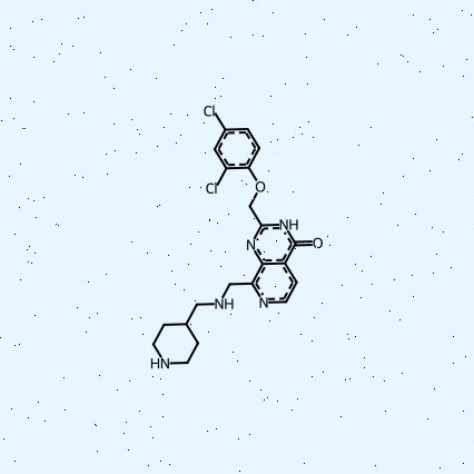 O=c1[nH]c(COc2ccc(Cl)cc2Cl)nc2c(CNCC3CCNCC3)nccc12